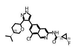 CC(C)[C@@H]1CCC(c2n[nH]cc2-c2cc(Cl)c3cnc(NC(=O)[C@@H]4C[C@@H]4F)cc3c2)OC1